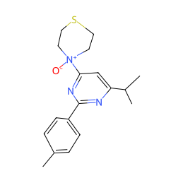 Cc1ccc(-c2nc(C(C)C)cc([N+]3([O-])CCSCC3)n2)cc1